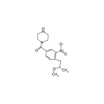 COC(C)Cc1ccc(C(=O)N2CCNCC2)cc1[N+](=O)[O-]